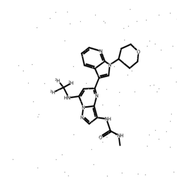 [2H]C([2H])([2H])Nc1cc(-c2cn(C3CCOCC3)c3ncccc23)nc2c(NC(=O)NC)cnn12